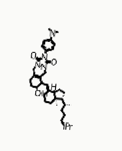 CC(C)CCC[C@@H](C)[C@H]1CC[C@H]2/C(=C/C3C4=C(CC[C@@H]3O)Cn3c(=O)n(-c5ccc(N(C)C)cc5)c(=O)n3C4)CCC[C@]12C